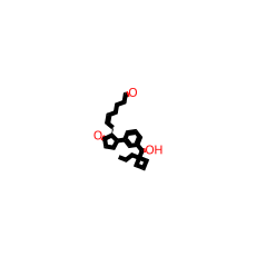 CCCC1(C(O)c2cccc(C3CCC(=O)[C@@H]3C/C=C\CCCC=O)c2)CCC1